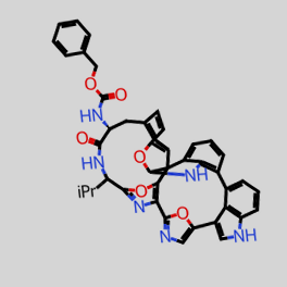 CC(C)C1NC(=O)[C@@H](NC(=O)OCc2ccccc2)Cc2ccc3c(c2)C24c5cccc(c5NC2O3)-c2cccc3[nH]cc(c23)-c2cnc(o2)-c2nc1oc24